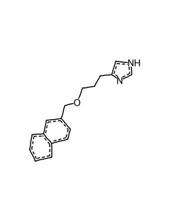 c1ccc2cc(COCCCc3c[nH]cn3)ccc2c1